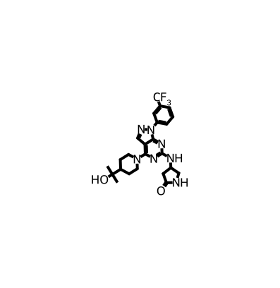 CC(C)(O)C1CCN(c2nc(NC3CNC(=O)C3)nc3c2cnn3-c2cccc(C(F)(F)F)c2)CC1